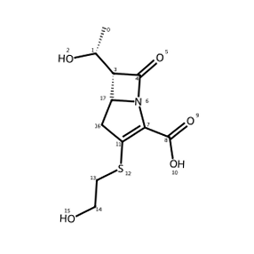 C[C@@H](O)[C@@H]1C(=O)N2C(C(=O)O)=C(SCCO)CC12